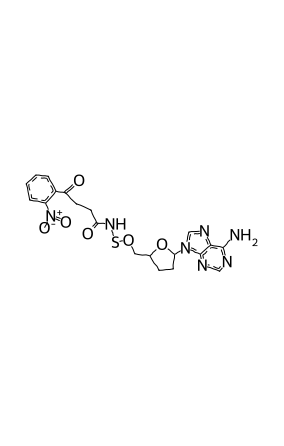 Nc1ncnc2c1ncn2C1CCC(COSNC(=O)CCC(=O)c2ccccc2[N+](=O)[O-])O1